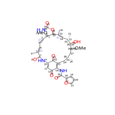 CO[C@H]1/C=C\C=C(/C)C(=O)NC2=CC(=O)C(NC(=O)c3ccco3)=C(C[C@@H](C)C[C@H](OC)[C@H](O)[C@@H](C)/C=C(\C)[C@@H]1OC(N)=O)C2=O